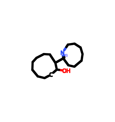 OC1CCCCCCCCC1/C1=N/CCCCCCC1